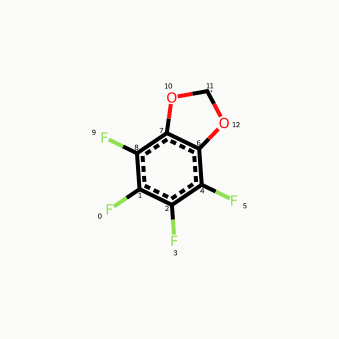 Fc1c(F)c(F)c2c(c1F)O[CH]O2